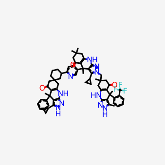 Cc1[nH]nc2c1C(C)(c1ccccc1C(F)(F)F)C1=C(CC(C)(Cn3nc4c(c3C3CC3)C(C)(c3ccc(C5CCCC6(CC(=O)C7=C(C6)Nc6n[nH]c(C8CC8)c6C7(C)c6ccccc6)C5)nc3)C3=C(CC(C)(C)CC3=O)N4)CC1=O)N2